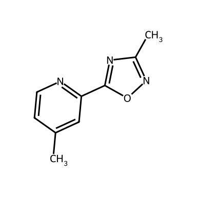 Cc1ccnc(-c2nc(C)no2)c1